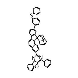 c1ccc(-c2nc(-c3ccc4c5c(ccc4c3)-c3ccc(-c4ccc6c(c4)sc4ccccc46)cc3C53C4CC5CC(C4)CC3C5)nc3c2oc2ccccc23)cc1